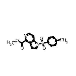 COC(=O)c1nccc2c1ccn2S(=O)(=O)c1ccc(C)cc1